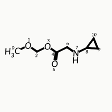 COCOC(=O)CNC1CC1